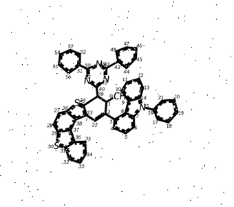 CC1C(c2cccc3c2c2ccccc2n3-c2ccccc2)=Cc2c(sc3ccc4sc5ccccc5c4c23)C1c1nc(-c2ccccc2)nc(-c2ccccc2)n1